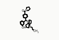 C=CCN1C2CCC3C1CCC2N3C(c1ccc(C(=O)N2CCCC2)cc1)c1cccc(O)c1